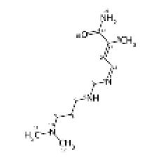 C/C(=C\C=N/CNCCCN(C)C)C(N)=O